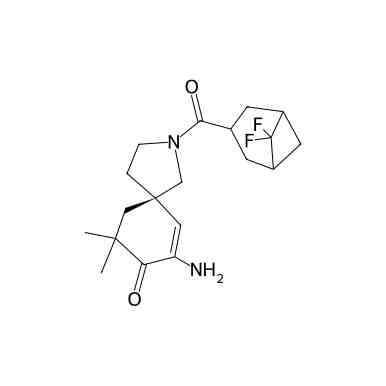 CC1(C)C[C@@]2(C=C(N)C1=O)CCN(C(=O)C1CC3CC(C1)C3(F)F)C2